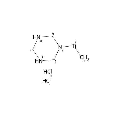 Cl.Cl.[CH3][Ti][N]1CNCNC1